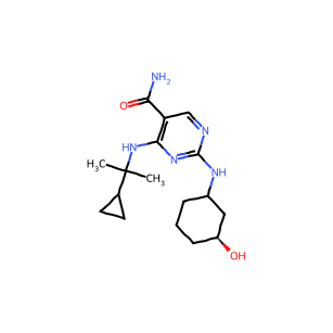 CC(C)(Nc1nc(NC2CCC[C@H](O)C2)ncc1C(N)=O)C1CC1